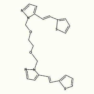 C(=C\c1ccnn1COCCOCn1nccc1/C=C/c1cccs1)/c1cccs1